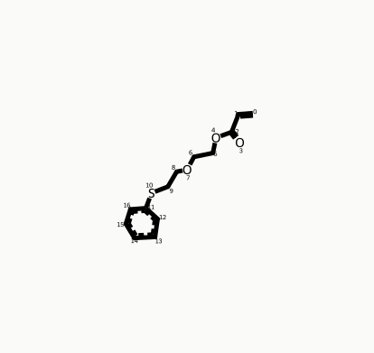 C=CC(=O)OCCOCCSc1ccccc1